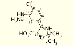 CC1(C)NC(c2ccc(Cl)c(NN)c2)C(C(=O)O)O1